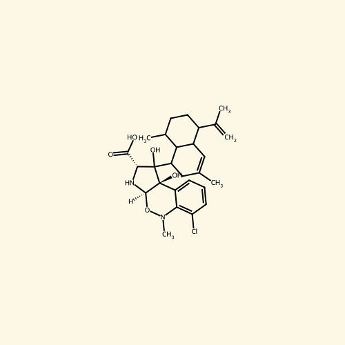 C=C(C)C1CCC(C)C2C1C=C(C)CC2C1(O)[C@@H](C(=O)O)N[C@@H]2ON(C)c3c(Cl)cccc3[C@]21O